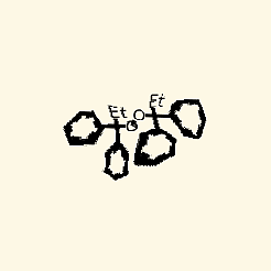 CCC(OOC(CC)(c1ccccc1)c1ccccc1)(c1ccccc1)c1ccccc1